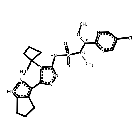 CO[C@H](c1ncc(Cl)cn1)[C@H](C)S(=O)(=O)Nc1nnc(-c2n[nH]c3c2CCC3)n1C1(C)CCC1